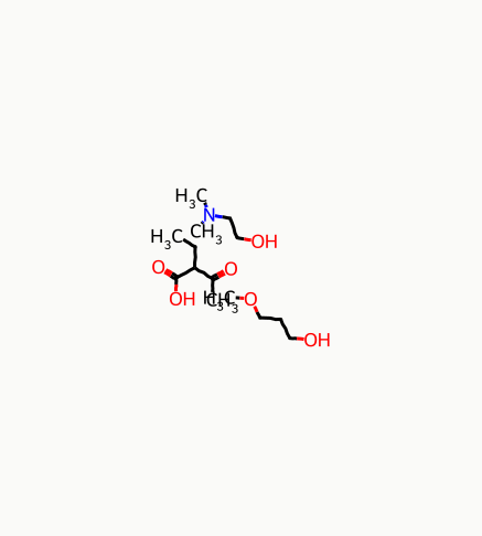 CCC(C(C)=O)C(=O)O.CN(C)CCO.COCCCO